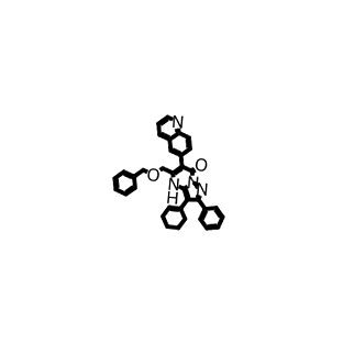 O=c1c(-c2ccc3ncccc3c2)c(COCc2ccccc2)[nH]c2c(C3=CCCCC3)c(-c3ccccc3)nn12